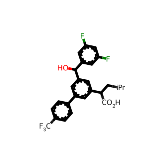 CC(C)CC(C(=O)O)c1cc(-c2ccc(C(F)(F)F)cc2)cc(C(O)c2cc(F)cc(F)c2)c1